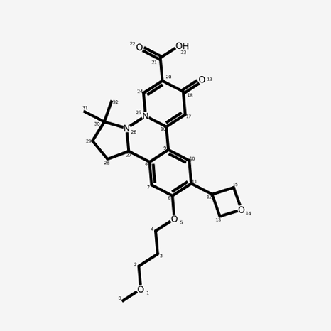 COCCCOc1cc2c(cc1C1COC1)-c1cc(=O)c(C(=O)O)cn1N1C2CCC1(C)C